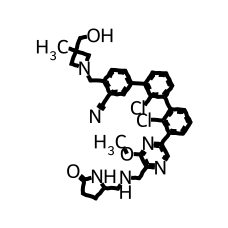 COc1nc(-c2cccc(-c3cccc(-c4ccc(CN5CC(C)(CO)C5)c(C#N)c4)c3Cl)c2Cl)cnc1CNCC1CCC(=O)N1